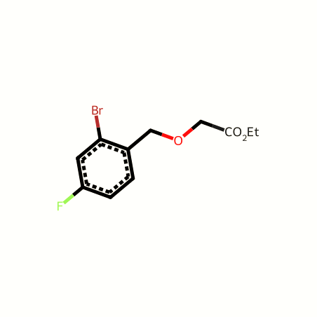 CCOC(=O)COCc1ccc(F)cc1Br